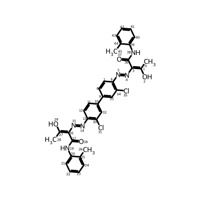 C/C(O)=C(/N=N/c1ccc(-c2ccc(/N=N/C(C(=O)Nc3ccccc3C)=C(/C)O)c(Cl)c2)cc1Cl)C(=O)Nc1ccccc1C